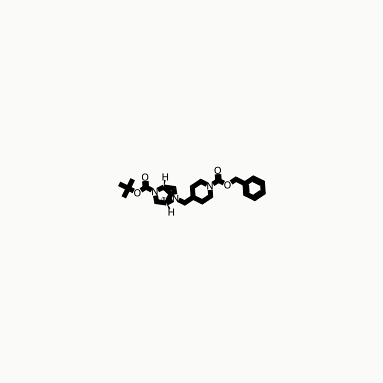 CC(C)(C)OC(=O)N1C[C@H]2C[C@@H]1CN2CC1CCN(C(=O)OCc2ccccc2)CC1